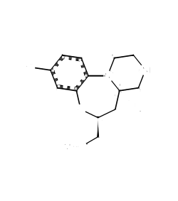 COC[C@@H]1C[C@@H]2CNCCN2c2ccc(F)cc2O1